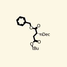 CCCCCCCCCC[C@H](CC(=O)OC(C)(C)C)C(=O)OCc1ccccc1